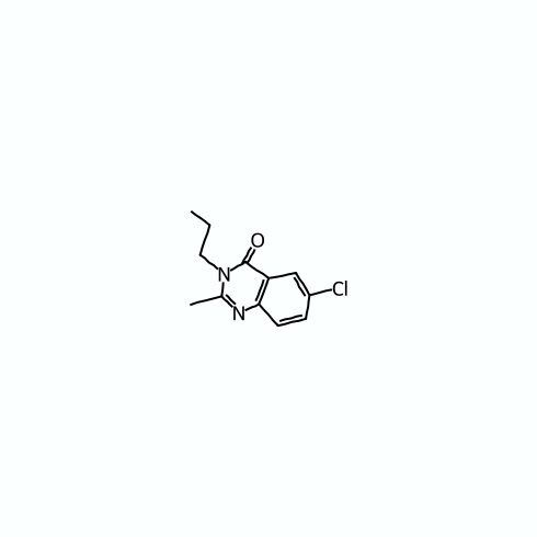 CCCn1c(C)nc2ccc(Cl)cc2c1=O